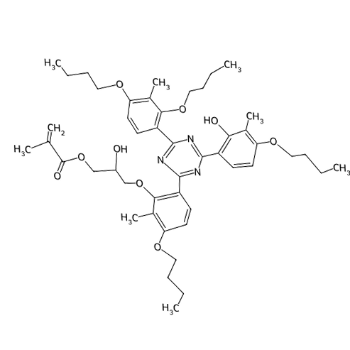 C=C(C)C(=O)OCC(O)COc1c(-c2nc(-c3ccc(OCCCC)c(C)c3O)nc(-c3ccc(OCCCC)c(C)c3OCCCC)n2)ccc(OCCCC)c1C